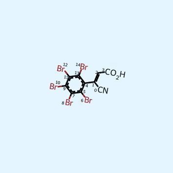 N#CC(=CC(=O)O)c1c(Br)c(Br)c(Br)c(Br)c1Br